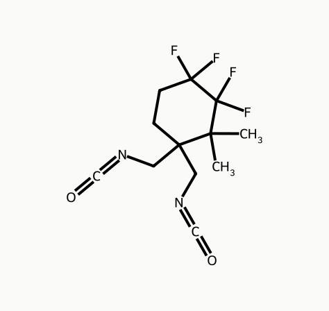 CC1(C)C(CN=C=O)(CN=C=O)CCC(F)(F)C1(F)F